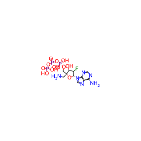 NC[C@]1(COP(=O)(O)OP(=O)(O)OP(=O)(O)O)O[C@@H](n2cnc3c(N)ncnc32)[C@H](F)[C@@H]1O